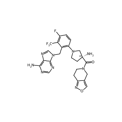 Nc1ncnc2c1ncn2Cc1c(N2CC[C@](N)(C(=O)N3CCc4nocc4C3)C2)ccc(F)c1C(F)(F)F